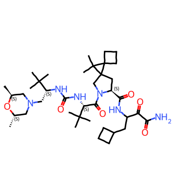 C[C@H]1CN(C[C@@H](NC(=O)N[C@H](C(=O)N2CC3(C[C@H]2C(=O)NC(CC2CCC2)C(=O)C(N)=O)C(C)(C)C32CCC2)C(C)(C)C)C(C)(C)C)C[C@H](C)O1